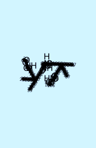 C=C(C)C(=O)OCCNC(=O)OCCCCCCCCC(CCCCCCCCC)C(CCCCCCCCC)CCCCCCCCOCNC1CCCC(NC(=O)OCCCCCCCCC(CCCCCCCCC)C(CCCCCCCCC)CCCCCCCCOC(=O)NCCOC(=O)C(=C)C)C1